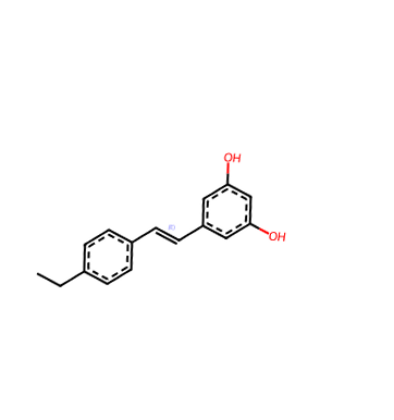 CCc1ccc(/C=C/c2cc(O)cc(O)c2)cc1